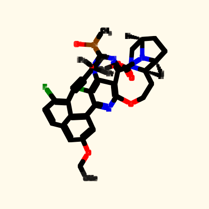 COCOc1cc(-c2nc3c4c(nc([S+](C)[O-])nc4c2F)N2C[C@H]4CC[C@@H]([C@H]2CCO3)N4C(=O)OC(C)(C)C)c2c(C#C[Si](C(C)C)(C(C)C)C(C)C)c(F)ccc2c1